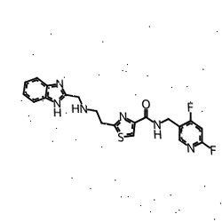 O=C(NCc1cnc(F)cc1F)c1csc(CCNCc2nc3ccccc3[nH]2)n1